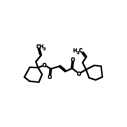 C=CCC1(OC(=O)/C=C/C(=O)OC2(CC=C)CCCCC2)CCCCC1